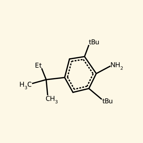 CCC(C)(C)c1cc(C(C)(C)C)c(N)c(C(C)(C)C)c1